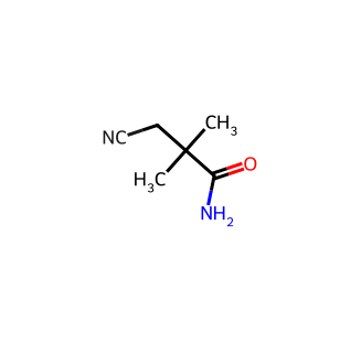 CC(C)(CC#N)C(N)=O